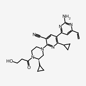 C=Cc1cc(-c2cc(C#N)c(N3CCN(C(=O)CCO)[C@H](C4CC4)C3)nc2C2CC2)nc(N)n1